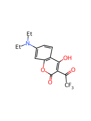 CCN(CC)c1ccc2c(O)c(C(=O)C(F)(F)F)c(=O)oc2c1